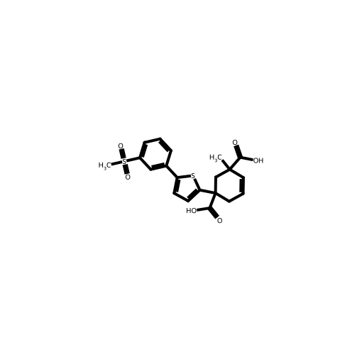 CC1(C(=O)O)C=CCC(C(=O)O)(c2ccc(-c3cccc(S(C)(=O)=O)c3)s2)C1